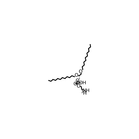 [2H]NCCOP(=O)(O)OC[C@@H](COCCCCCCCCCCCC)OCCCCCCCCCCCC